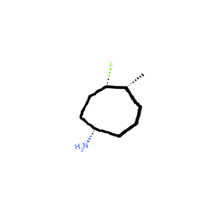 C[C@@H]1CCC[C@H](N)CC[C@@H]1F